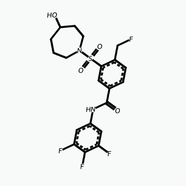 O=C(Nc1cc(F)c(F)c(F)c1)c1ccc(CF)c(S(=O)(=O)N2CCCC(O)CC2)c1